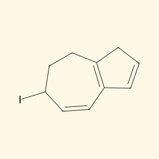 IC1C=CC2=C(CC=C2)CC1